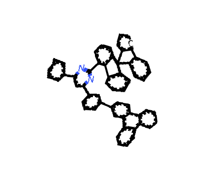 c1ccc(-c2cc(-c3cccc(-c4ccc5c6ccccc6c6ccccc6c5c4)c3)nc(-c3cccc4c3-c3ccccc3C43c4ccccc4-c4ccccc43)n2)cc1